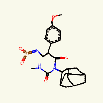 CNC(=O)N(C(=O)C(CN=S(=O)=O)c1ccc(OC)cc1)C1C2CC3CC(C2)CC1C3